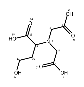 O=C(O)CN(CC(=O)O)C(CCO)C(=O)O